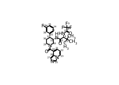 CC(C)(C)[C@H](NC(=O)C(F)(F)F)C(=O)N[C@@H]1CN(C(=O)c2cccn3cncc23)CC[C@H]1c1cccc(F)c1